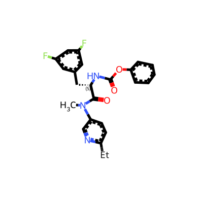 CCc1ccc(N(C)C(=O)[C@H](Cc2cc(F)cc(F)c2)NC(=O)Oc2ccccc2)cn1